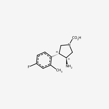 Cc1cc(F)ccc1[C@@H]1CN(C(=O)O)C[C@H]1N